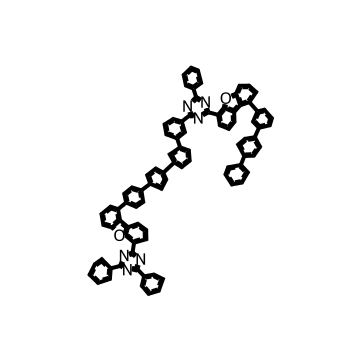 c1ccc(-c2ccc(-c3cccc(-c4cccc5oc6c(-c7nc(-c8ccccc8)nc(-c8cccc(-c9cccc(-c%10ccc(-c%11ccc(-c%12cccc%13oc%14c(-c%15nc(-c%16ccccc%16)nc(-c%16ccccc%16)n%15)cccc%14c%12%13)cc%11)cc%10)c9)c8)n7)cccc6c45)c3)cc2)cc1